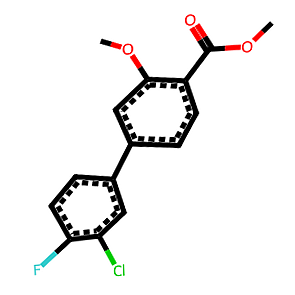 COC(=O)c1ccc(-c2ccc(F)c(Cl)c2)cc1OC